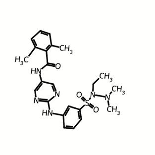 CCN(N(C)C)S(=O)(=O)c1cccc(Nc2ncc(NC(=O)c3c(C)cccc3C)cn2)c1